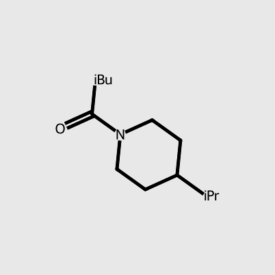 CCC(C)C(=O)N1CCC(C(C)C)CC1